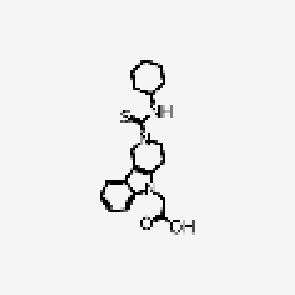 O=C(O)Cn1c2c(c3ccccc31)CN(C(=S)NC1CCCCC1)CC2